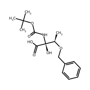 C[C@@H](OCc1ccccc1)[C@@](O)(NC(=O)OC(C)(C)C)C(=O)O